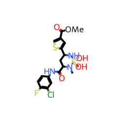 COC(=O)c1csc(C2CC(C(=O)Nc3ccc(F)c(Cl)c3)N(C)S(O)(O)N2)c1